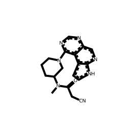 CN(C(=O)CC#N)C1CCCN(c2ncnc3cnc4[nH]ccc4c23)C1